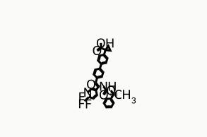 C[C@@H](OC(=O)Nc1c(-c2ccc(-c3ccc(C4(C(=O)O)CC4)cc3)cc2)oc2nc(C(F)(F)F)ccc12)c1ccccc1